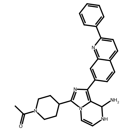 CC(=O)N1CCC(c2nc(-c3ccc4ccc(-c5ccccc5)nc4c3)c3n2C=CNC3N)CC1